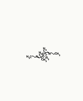 CCCN=CC(C)(C)OOC(C)(C)C=NCCC